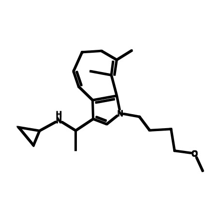 COCCCCn1cc(C(C)NC2CC2)c2c1/C(C)=C(\C)CC/C=C\2